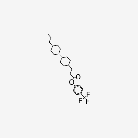 CCC[C@H]1CC[C@H](C2CCC(CCC(=O)Oc3ccc(C(F)(F)F)cc3)CC2)CC1